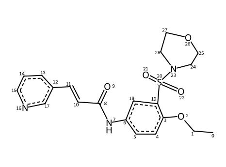 CCOc1ccc(NC(=O)C=Cc2cccnc2)cc1S(=O)(=O)N1CCOCC1